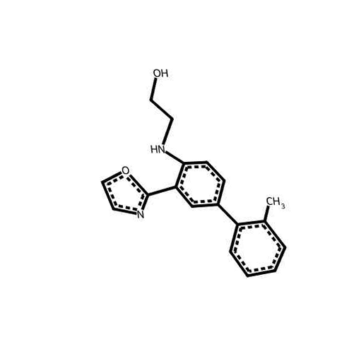 Cc1ccccc1-c1ccc(NCCO)c(-c2ncco2)c1